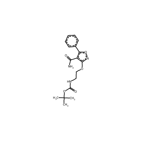 CC(C)(C)OC(=O)NCCOc1noc(-c2ccccc2)c1C(N)=O